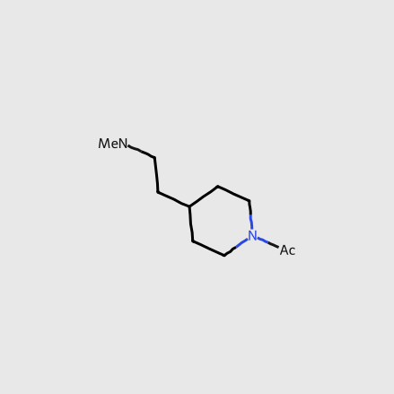 CNCCC1CCN(C(C)=O)CC1